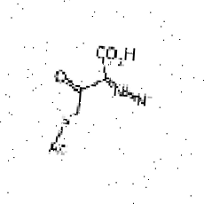 CC(=O)SCC(=O)C(=[N+]=[N-])C(=O)O